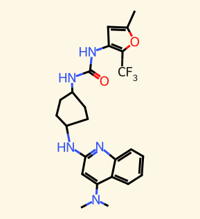 Cc1cc(NC(=O)NC2CCC(Nc3cc(N(C)C)c4ccccc4n3)CC2)c(C(F)(F)F)o1